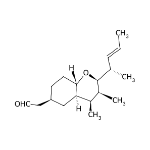 C/C=C/[C@H](C)[C@@H]1O[C@H]2CC[C@H](CC=O)C[C@@H]2[C@H](C)[C@@H]1C